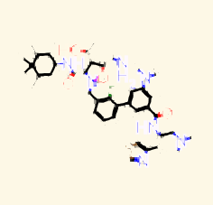 C[C@@H]1[C@@H](NC(=O)[C@@H]2[C@H]([C@H](C)O)[C@H](CN)ON2Cc2cccc(-c3cc(C(=O)N[C@@H](Cc4cscn4)CN(C)C)cc(N(C)C)c3)c2F)C[C@@H](C)C(C)(C)[C@H]1C